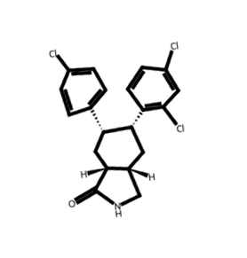 O=C1NC[C@H]2C[C@@H](c3ccc(Cl)cc3Cl)[C@@H](c3ccc(Cl)cc3)C[C@@H]12